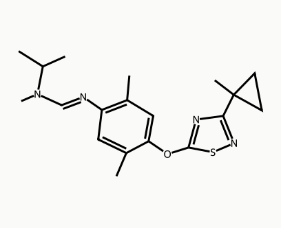 Cc1cc(Oc2nc(C3(C)CC3)ns2)c(C)cc1N=CN(C)C(C)C